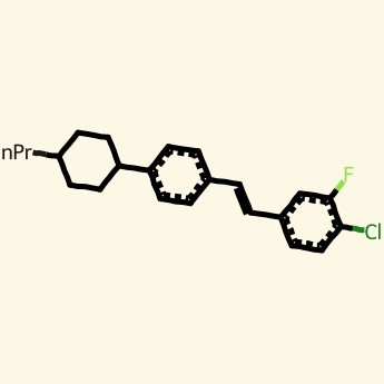 CCCC1CCC(c2ccc(C=Cc3ccc(Cl)c(F)c3)cc2)CC1